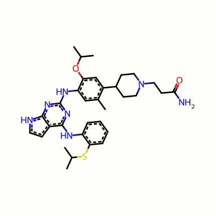 Cc1cc(Nc2nc(Nc3ccccc3SC(C)C)c3cc[nH]c3n2)c(OC(C)C)cc1C1CCN(CCC(N)=O)CC1